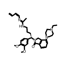 C=C/C=C\N=C(/C)NCCC[C@H](c1ccc(OC)c(OC)c1)N1Cc2c(cccc2N2CCN(CC)CC2)C1=O